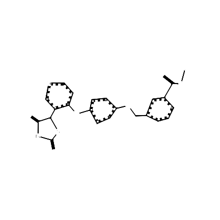 COC(=O)c1cccc(COc2ccc(Oc3ccncc3C3NC(=O)NC3=O)cc2)c1